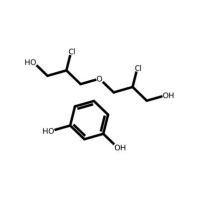 OCC(Cl)COCC(Cl)CO.Oc1cccc(O)c1